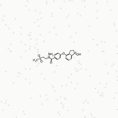 CS(=O)(=O)CCN(N)C(=O)c1ccc(Oc2cccc3c2CC[C@H]3O)cc1